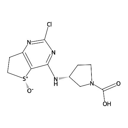 O=C(O)N1CC[C@@H](Nc2nc(Cl)nc3c2[S@+]([O-])CC3)C1